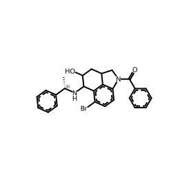 C[C@H](NC1c2c(Br)ccc3c2C(CC1O)CN3C(=O)c1ccccc1)c1ccccc1